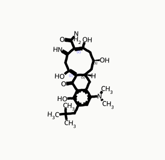 CN(C)c1cc(CC(C)(C)C)c(O)c2c1C[C@H]1C[C@H](O)C/C(O)=C(/C(N)=O)C(=N)C/C(O)=C\1C2=O